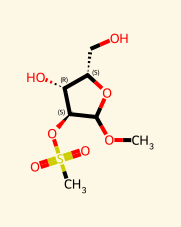 COC1O[C@@H](CO)[C@@H](O)[C@@H]1OS(C)(=O)=O